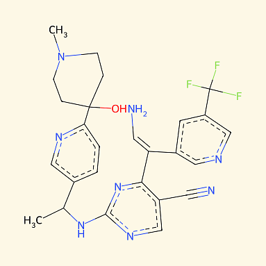 CC(Nc1ncc(C#N)c(/C(=C/N)c2cncc(C(F)(F)F)c2)n1)c1ccc(C2(O)CCN(C)CC2)nc1